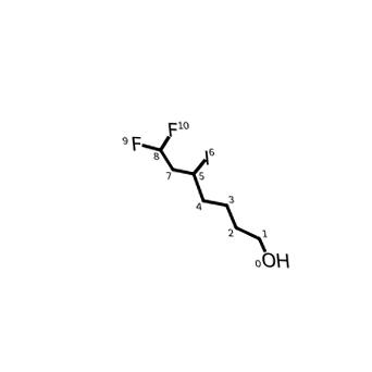 OCCCCC(I)CC(F)F